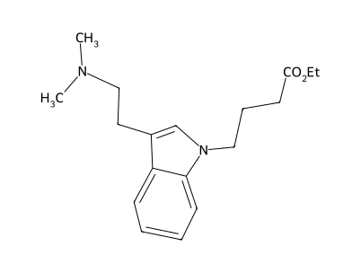 CCOC(=O)CCCn1cc(CCN(C)C)c2ccccc21